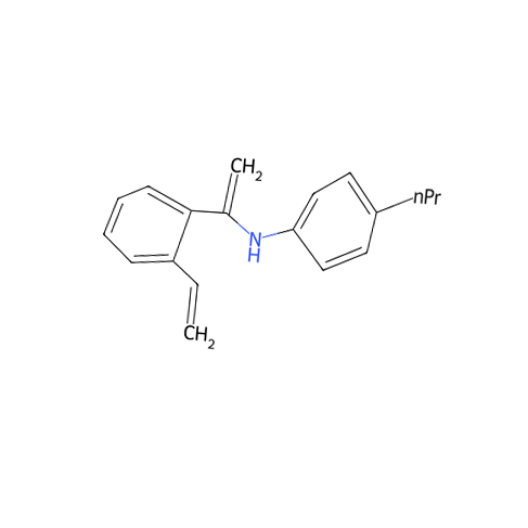 C=Cc1ccccc1C(=C)Nc1ccc(CCC)cc1